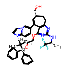 C[C@@H](Nc1nc2c(c(OCCO[Si](c3ccccc3)(c3ccccc3)C(C)(C)C)n1)C(c1ccc3nccn3c1)=C[C@H](CO)CC2)C(F)(F)F